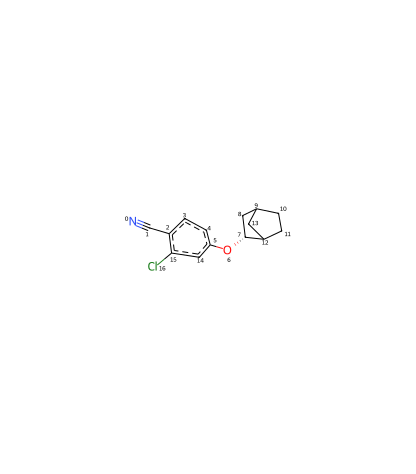 N#Cc1ccc(O[C@@H]2CC3CCC2C3)cc1Cl